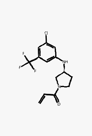 C=CC(=O)N1CC[C@H](Nc2cc(Cl)cc(C(F)(F)F)c2)C1